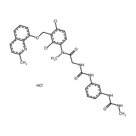 CNC(=O)Nc1cccc(NC(=O)NCC(=O)N(C)c2ccc(Cl)c(COc3cccc4ccc(C)nc34)c2Cl)c1.Cl